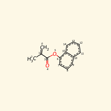 C=C(C)C(=O)Oc1cccc2ccccc12